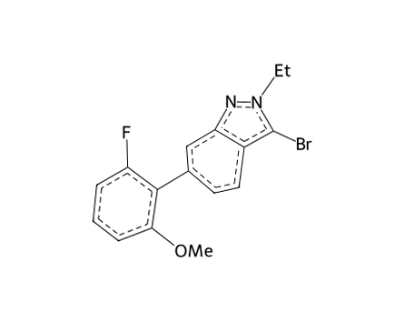 CCn1nc2cc(-c3c(F)cccc3OC)ccc2c1Br